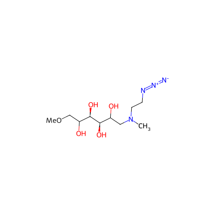 COCC(O)[C@@H](O)[C@H](O)C(O)CN(C)CCN=[N+]=[N-]